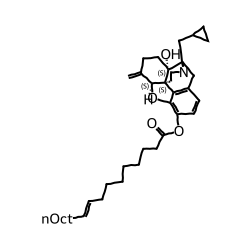 C=C1CC[C@@]2(O)C3Cc4ccc(OC(=O)CCCCCCCC=CCCCCCCCC)c5c4[C@@]2(CCN3CC2CC2)[C@H]1O5